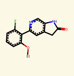 CCOc1cccc(F)c1-c1cc2c(cn1)NC(=O)C2